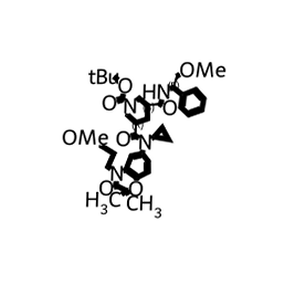 COCCCN1C(=O)C(C)(C)Oc2ccc(N(C(=O)[C@@H]3C[C@H](C(=O)N[C@@H](COC)c4ccccc4)CN(C(=O)OC(C)(C)C)C3)C3CC3)cc21